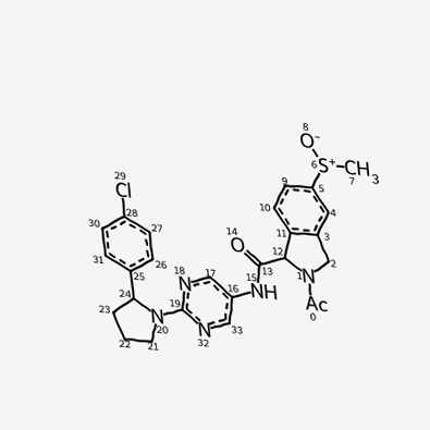 CC(=O)N1Cc2cc([S+](C)[O-])ccc2C1C(=O)Nc1cnc(N2CCCC2c2ccc(Cl)cc2)nc1